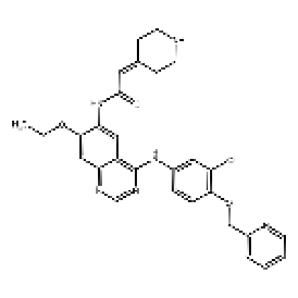 CCOc1cc2ncnc(Nc3ccc(OCc4ccccn4)c(Cl)c3)c2cc1NC(=O)C=C1CCNCC1